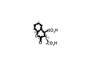 O=C(O)Cc1c(S(=O)(=O)O)c2ccccc2oc1=O